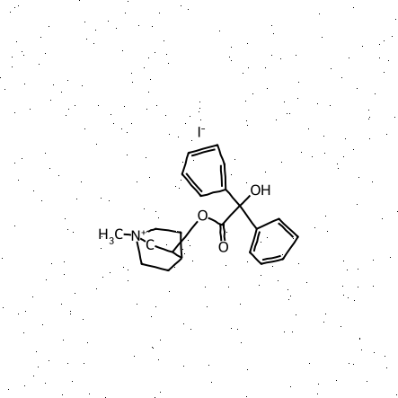 C[N+]12CCC(CC1)C(OC(=O)C(O)(c1ccccc1)c1ccccc1)C2.[I-]